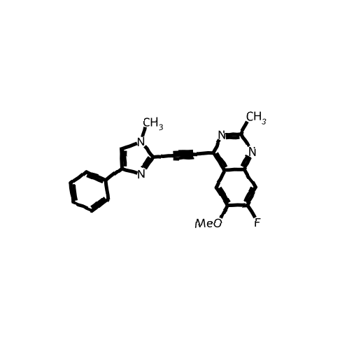 COc1cc2c(C#Cc3nc(-c4ccccc4)cn3C)nc(C)nc2cc1F